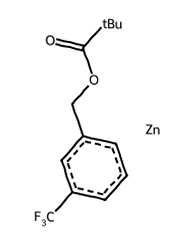 CC(C)(C)C(=O)OCc1cccc(C(F)(F)F)c1.[Zn]